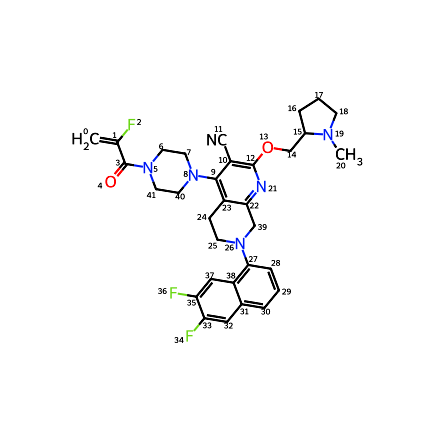 C=C(F)C(=O)N1CCN(c2c(C#N)c(OCC3CCCN3C)nc3c2CCN(c2cccc4cc(F)c(F)cc24)C3)CC1